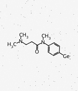 CN(C)CCC(=O)N(C)c1cc[c]([Ge])cc1